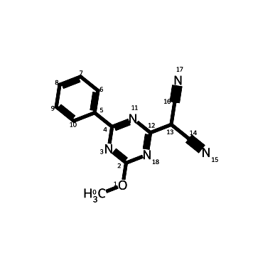 COc1nc(-c2ccccc2)nc(C(C#N)C#N)n1